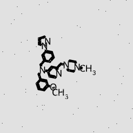 COc1cccc(CN(Cc2cccc(-n3cccn3)c2)c2ccnc(CN3CCN(C)CC3)c2)c1